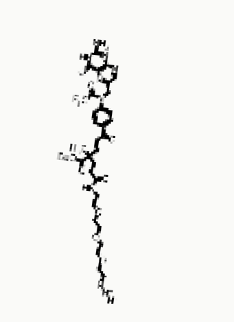 CC(C)COC(=O)C(C)(CCC(=O)NCCOCCOCCOCCN=[N+]=[N-])CCC(=O)c1ccc(N(Cc2cnc3nc(N)[nH]c(=O)c3n2)C(=O)C(F)(F)F)cc1